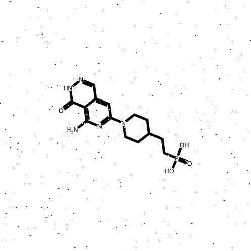 Nc1nc(N2CCC(CCP(=O)(O)O)CC2)cc2cn[nH]c(=O)c12